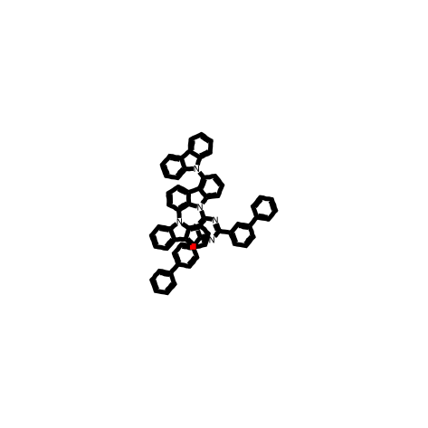 c1ccc(-c2ccc(-c3nc(-c4cccc(-c5ccccc5)c4)nc(-n4c5cccc(-n6c7ccccc7c7ccccc76)c5c5cccc(-n6c7ccccc7c7ccccc76)c54)n3)cc2)cc1